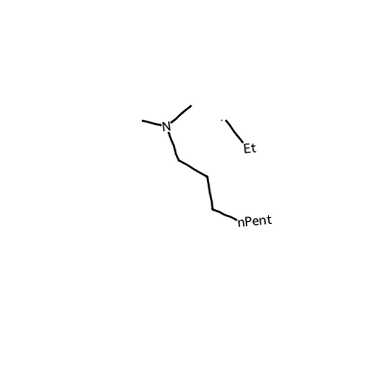 CCCCCCCCN(C)C.[CH2]CC